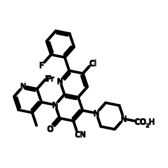 Cc1ccnc(C(C)C)c1-n1c(=O)c(C#N)c(N2CCN(C(=O)O)CC2)c2cc(Cl)c(-c3ccccc3F)nc21